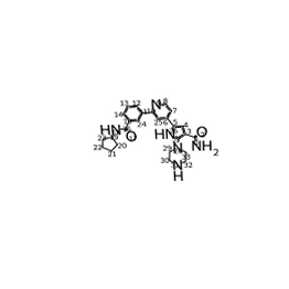 NC(=O)c1cc(-c2ccnc(-c3cccc(C(=O)NC4CCCC4)c3)c2)[nH]c1N1CCNCC1